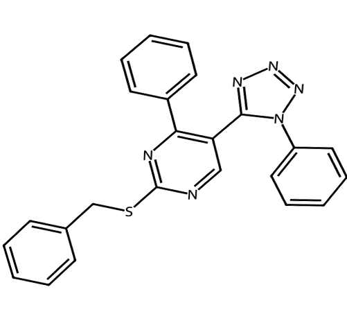 c1ccc(CSc2ncc(-c3nnnn3-c3ccccc3)c(-c3ccccc3)n2)cc1